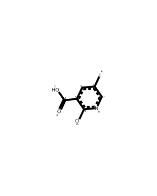 O=C(O)c1cc(I)cnc1Cl